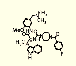 COc1ccc(CN(C)C)cc1NC(=O)[C@H](NC(=O)N1CCN(C(=O)c2ccc(F)cc2)CC1)[C@@H](C)c1c[nH]c2ccccc12